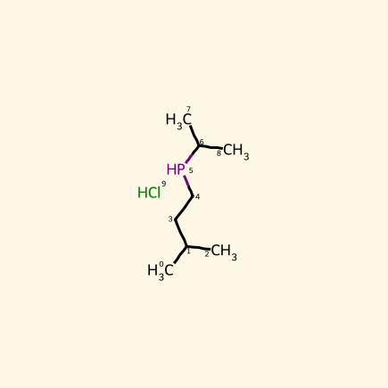 CC(C)CCPC(C)C.Cl